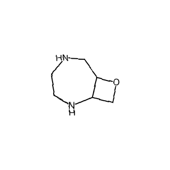 C1CNC2COC2CN1